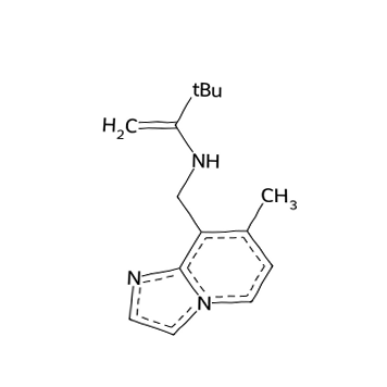 C=C(NCc1c(C)ccn2ccnc12)C(C)(C)C